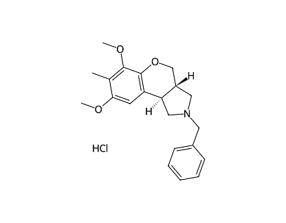 COc1cc2c(c(OC)c1C)OC[C@@H]1CN(Cc3ccccc3)C[C@@H]21.Cl